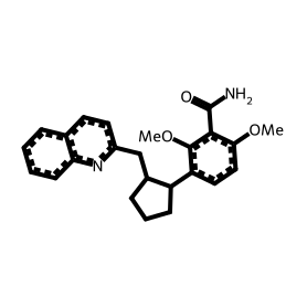 COc1ccc(C2CCCC2Cc2ccc3ccccc3n2)c(OC)c1C(N)=O